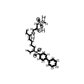 CCC(CCCCC(CC)S(=O)(=O)c1ccc(-c2ccccc2)cc1)NC[C@H](O)CS(=O)(=O)NC